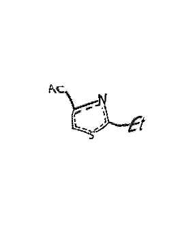 CCc1nc(C(C)=O)cs1